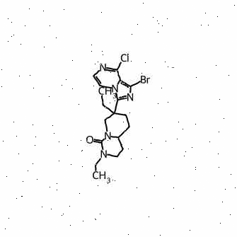 CCN1CCC2CCC(CC)(c3nc(Br)c4c(Cl)nccn34)CN2C1=O